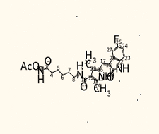 CC(=O)ONC(=O)CCCCCNC(=O)c1c(C)[nH]c(/C=C2\C(=O)Nc3ccc(F)cc32)c1C